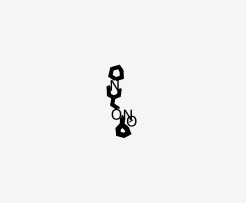 c1ccc2c(OCCC3CCN(C4CCCCC4)CC3)noc2c1